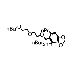 CCCCOCCOCCOCc1cc2c(cc1CCC)OCO2.CCC[CH2][SnH]